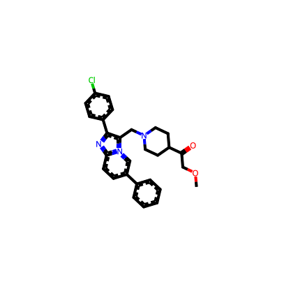 COCC(=O)C1CCN(Cc2c(-c3ccc(Cl)cc3)nc3ccc(-c4ccccc4)cn23)CC1